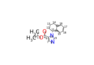 CC(C)OC(=O)c1cncn1[C@@H]1CCCc2ccccc21